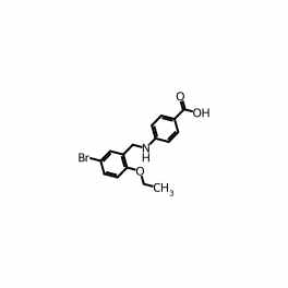 CCOc1ccc(Br)cc1CNc1ccc(C(=O)O)cc1